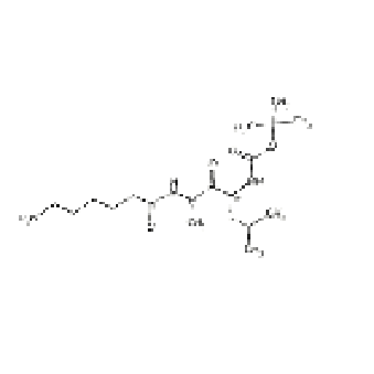 CC(C)C[C@@H](NC(=O)OC(C)(C)C)C(=O)N(C)NC(=O)CCCCCN